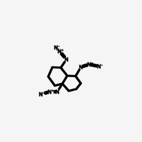 [N-]=[N+]=NC1CCCC2(N=[N+]=[N-])CCCC(N=[N+]=[N-])C12